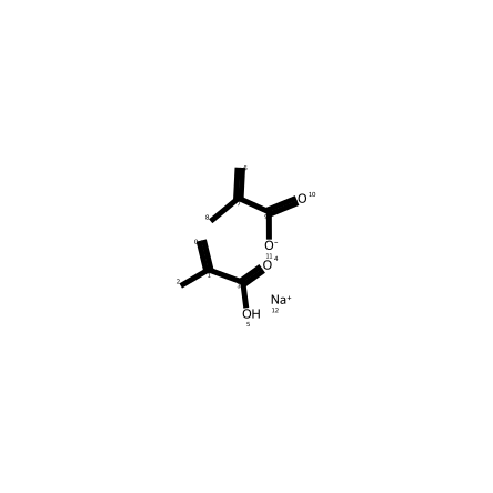 C=C(C)C(=O)O.C=C(C)C(=O)[O-].[Na+]